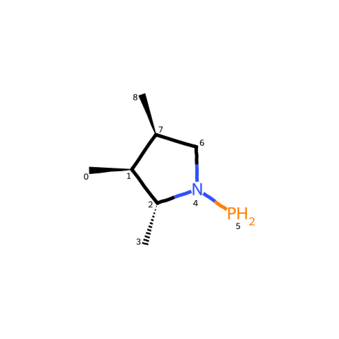 C[C@@H]1[C@@H](C)N(P)C[C@@H]1C